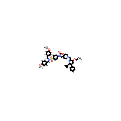 CCOc1cc(-c2ccc(F)cc2)c(C2CC2)nc1CN1CCC2(CC1)CN(c1ccc(S(=O)(=O)N(Cc3ccc(OC)cc3)Cc3ccc(OC)cc3)cc1)C(=O)O2